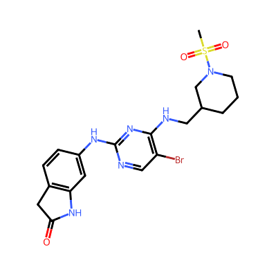 CS(=O)(=O)N1CCCC(CNc2nc(Nc3ccc4c(c3)NC(=O)C4)ncc2Br)C1